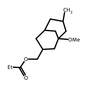 CCC(=O)OCC1CC2CC(C)CC(OC)(C1)C2